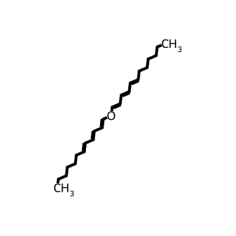 CCCCCCC=CC=CC=COC=CC=CC=CCCCCCC